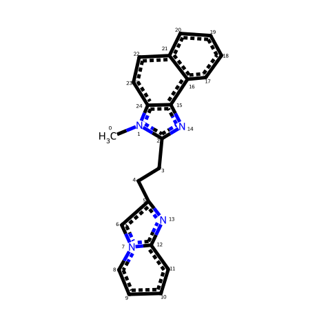 Cn1c(CCc2cn3ccccc3n2)nc2c3ccccc3ccc21